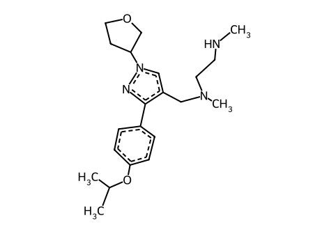 CNCCN(C)Cc1cn(C2CCOC2)nc1-c1ccc(OC(C)C)cc1